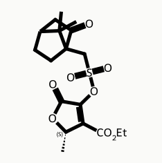 CCOC(=O)C1=C(OS(=O)(=O)CC23CCC(CC2=O)C3(C)C)C(=O)O[C@H]1C